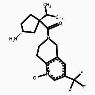 CC(C)[C@]1(C(=O)N2CCc3c(cc(C(F)(F)F)c[n+]3[O-])C2)CC[C@@H](N)C1